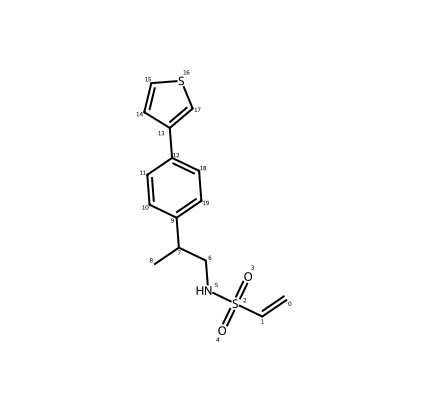 C=CS(=O)(=O)NCC(C)c1ccc(-c2ccsc2)cc1